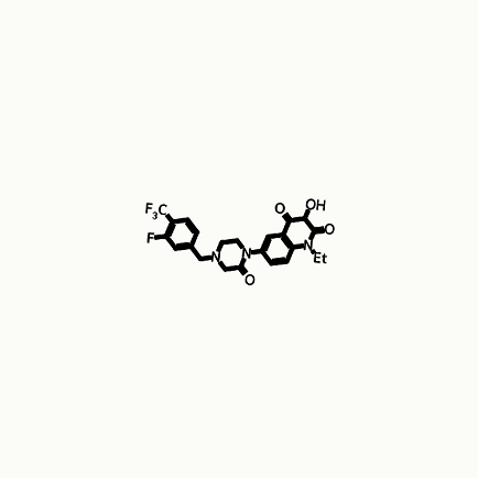 CCN1C(=O)C(O)C(=O)c2cc(N3CCN(Cc4ccc(C(F)(F)F)c(F)c4)CC3=O)ccc21